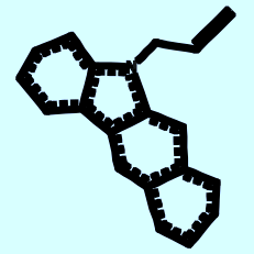 C=CCn1c2ccccc2c2cc3ccccc3cc21